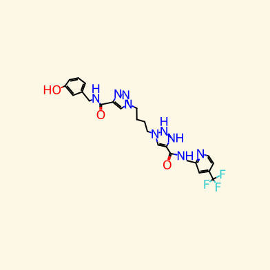 O=C(NCc1cc(C(F)(F)F)ccn1)C1=CN(CCCCn2cc(C(=O)NCc3cccc(O)c3)nn2)NN1